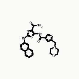 NC(=O)c1nc(Nc2ccc3ccccc3c2)sc1NC(=O)c1csc(CN2CCOCC2)c1